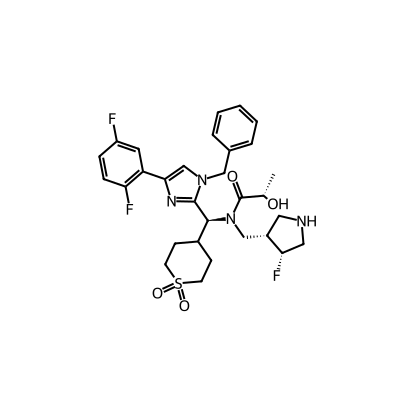 C[C@H](O)C(=O)N(C[C@@H]1CNC[C@@H]1F)[C@H](c1nc(-c2cc(F)ccc2F)cn1Cc1ccccc1)C1CCS(=O)(=O)CC1